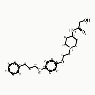 O=C(CO)NC1CCN(CCOc2ccc(OCCCc3ccccc3)cc2)CC1